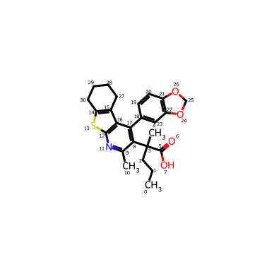 CCCC(C)(C(=O)O)c1c(C)nc2sc3c(c2c1-c1ccc2c(c1)OCO2)CCCC3